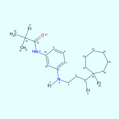 CCC(CCN(CC)c1cccc(NC(=O)C(C)(C)CC)c1)C1(CC)CCCCCC1